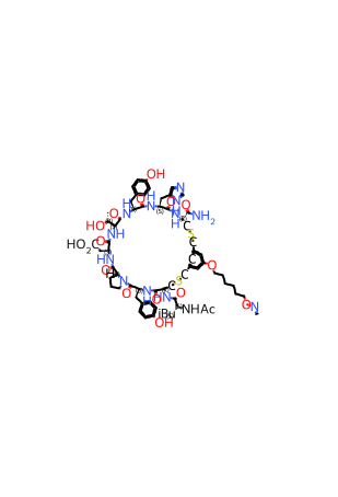 C=NOCCCCCCOc1cc2cc(c1)CSC[C@H](NC(=O)[C@@H](NC(C)=O)[C@@H](C)CC)C(=O)N[C@@H](Cc1ccc(O)cc1)C(=O)N1CCC[C@H]1C(=O)N[C@@H](CC(=O)O)C(=O)N[C@@H]([C@@H](C)O)C(=O)N[C@@H](Cc1ccc(O)cc1)C(=O)N[C@@H](Cc1cnc[nH]1)C(=O)N[C@H](C(N)=O)CSC2